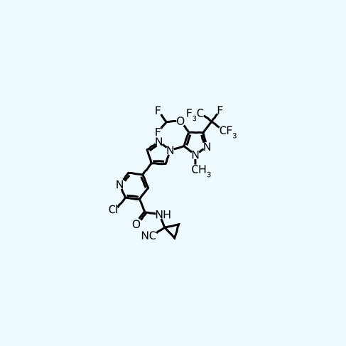 Cn1nc(C(F)(C(F)(F)F)C(F)(F)F)c(OC(F)F)c1-n1cc(-c2cnc(Cl)c(C(=O)NC3(C#N)CC3)c2)cn1